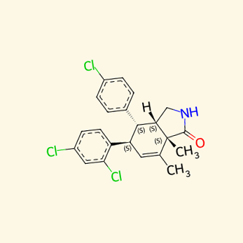 CC1=C[C@@H](c2ccc(Cl)cc2Cl)[C@H](c2ccc(Cl)cc2)[C@@H]2CNC(=O)[C@]12C